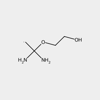 [CH2]C(N)(N)OCCO